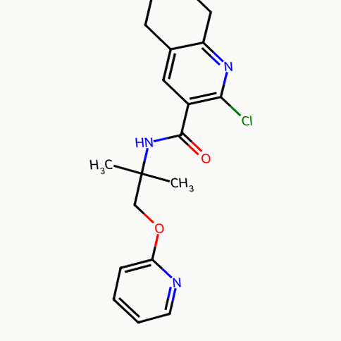 CC(C)(COc1ccccn1)NC(=O)c1cc2c(nc1Cl)CCCC2